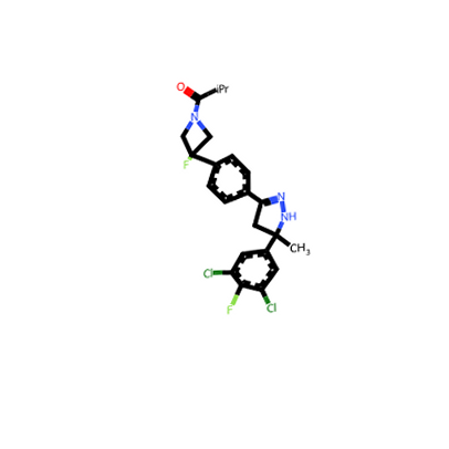 CC(C)C(=O)N1CC(F)(c2ccc(C3=NNC(C)(c4cc(Cl)c(F)c(Cl)c4)C3)cc2)C1